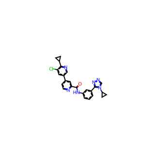 O=C(Nc1cccc(-c2nncn2C2CC2)c1)c1cc(-c2cnc(C3CC3)c(Cl)c2)ccn1